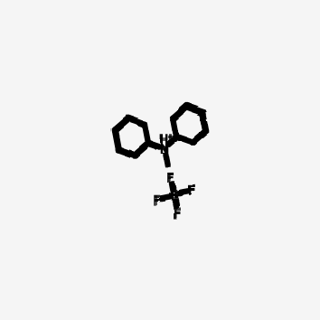 C[NH+](C1CCCCC1)C1CCCCC1.F[B-](F)(F)F